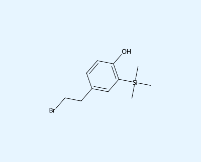 C[Si](C)(C)c1cc(CCBr)ccc1O